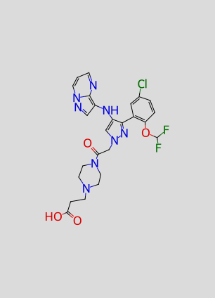 O=C(O)CCN1CCN(C(=O)Cn2cc(Nc3cnn4cccnc34)c(-c3cc(Cl)ccc3OC(F)F)n2)CC1